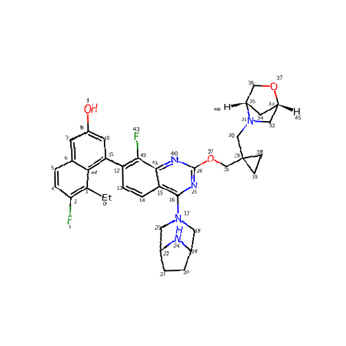 CCc1c(F)ccc2cc(O)cc(-c3ccc4c(N5CC6CCC(C5)N6)nc(OCC5(CN6C[C@@H]7C[C@H]6CO7)CC5)nc4c3F)c12